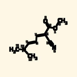 COC(=O)C(C#N)=CC=CN(C)C